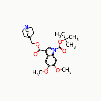 COc1cc2c(C(=O)OCC34CCN(CC3)CC4)cn(C(=O)OC(C)(C)C)c2cc1OC